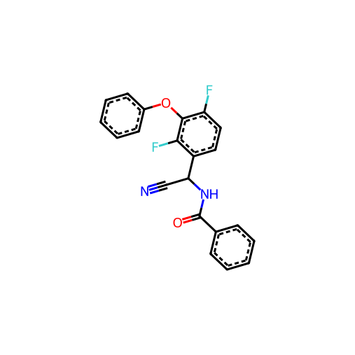 N#CC(NC(=O)c1ccccc1)c1ccc(F)c(Oc2ccccc2)c1F